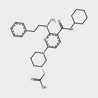 CN(CCc1ccccc1)c1nc(N2CCC[C@@H](CC(=O)O)C2)ccc1C(=O)NC1CCCCC1